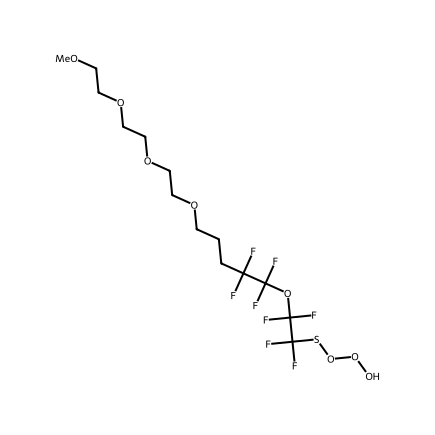 COCCOCCOCCOCCCC(F)(F)C(F)(F)OC(F)(F)C(F)(F)SOOO